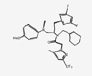 COc1ccc(N(C)CC(Cc2cc(F)cc(F)c2)N(CC2CCCCC2)C(=O)Cn2nc(C(F)(F)F)cc2C)cc1